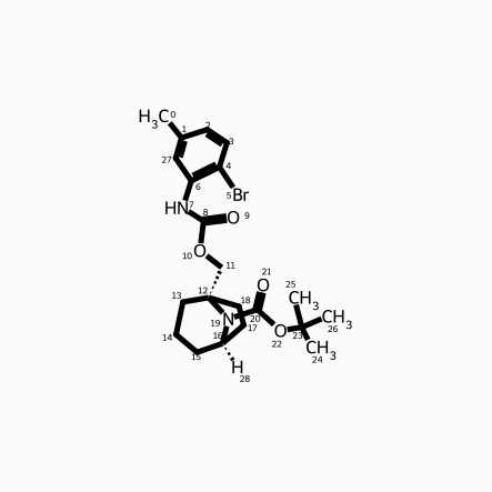 Cc1ccc(Br)c(NC(=O)OC[C@]23CCC[C@H](CC2)N3C(=O)OC(C)(C)C)c1